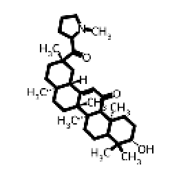 CN1CCCC1C(=O)[C@@]1(C)CC[C@]2(C)CC[C@]3(C)C(=CC(=O)C4[C@@]5(C)CC[C@H](O)C(C)(C)C5CC[C@]43C)[C@H]2C1